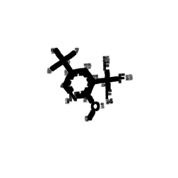 COc1ncc(C(C)(C)C)cc1C(F)(F)F